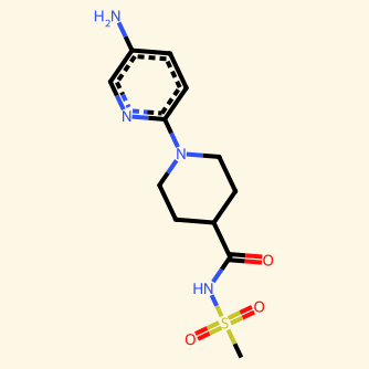 CS(=O)(=O)NC(=O)C1CCN(c2ccc(N)cn2)CC1